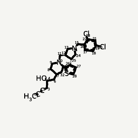 CCCCC(O)CC1CCN(C[C@H]2CN(Cc3ccc(Cl)cc3Cl)C[C@@H]2c2ccsc2)CC1